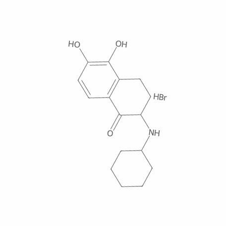 Br.O=C1c2ccc(O)c(O)c2CCC1NC1CCCCC1